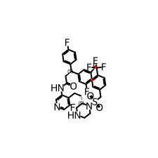 O=C(C[C@@H](c1ccc(F)cc1)c1cc(F)cc(F)c1)Nc1cncc(F)c1CC[C@H]1CNCCN1S(=O)(=O)Cc1ccc(C(F)(F)F)cc1